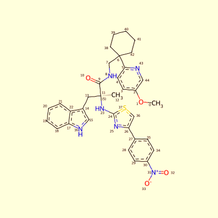 COc1ccc(C2(CNC(=O)[C@](C)(Cc3c[nH]c4ccccc34)Nc3nc(-c4ccc([N+](=O)[O-])cc4)cs3)CCCCC2)nc1